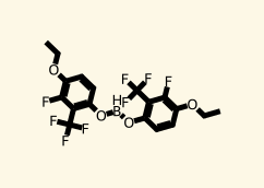 CCOc1ccc(OBOc2ccc(OCC)c(F)c2C(F)(F)F)c(C(F)(F)F)c1F